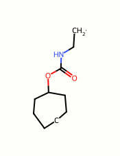 [CH2]CNC(=O)OC1CCCCCC1